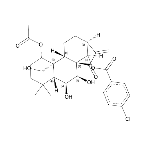 C=C1C(=O)[C@]23[C@H](OC(=O)c4ccc(Cl)cc4)[C@H]1CC[C@H]2[C@]1(CO)C(OC(C)=O)CCC(C)(C)[C@H]1[C@H](O)[C@@H]3O